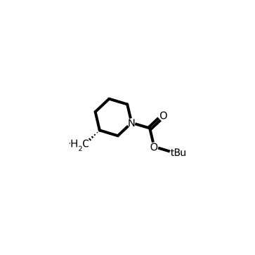 [CH2][C@@H]1CCCN(C(=O)OC(C)(C)C)C1